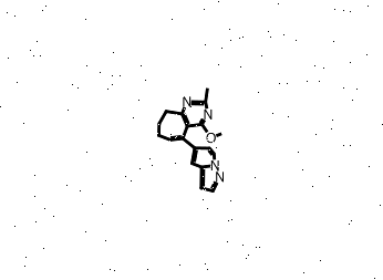 COc1nc(C)nc2c1C(c1ccn3nccc3c1)=CCCC2